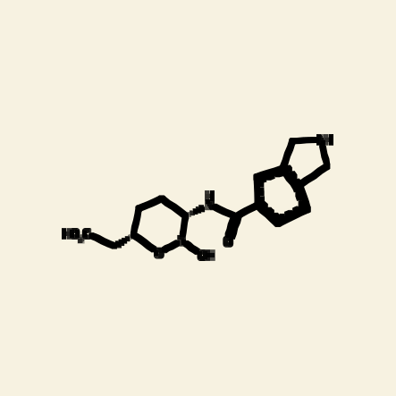 O=C(O)C[C@@H]1CC[C@H](NC(=O)c2ccc3c(c2)CNC3)B(O)O1